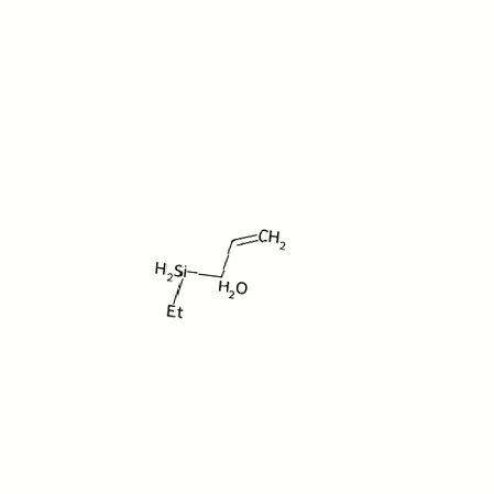 C=CC[SiH2]CC.O